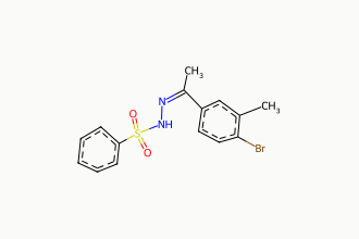 CC(=NNS(=O)(=O)c1ccccc1)c1ccc(Br)c(C)c1